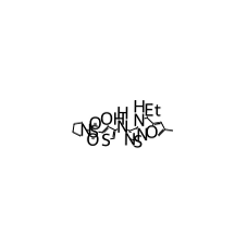 CC[C@@H](Nc1nsnc1Nc1csc(S(=O)(=O)N2CCCC2)c1O)c1cc(C)co1